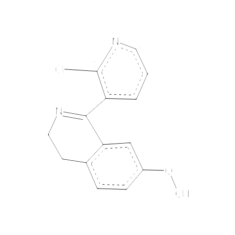 COc1ccc2c(c1)C(c1cccnc1Cl)=NCC2